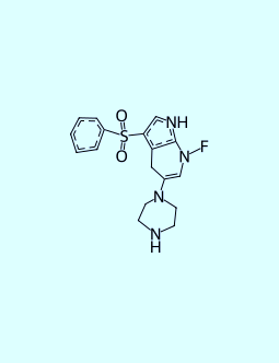 O=S(=O)(c1ccccc1)c1c[nH]c2c1CC(N1CCNCC1)=CN2F